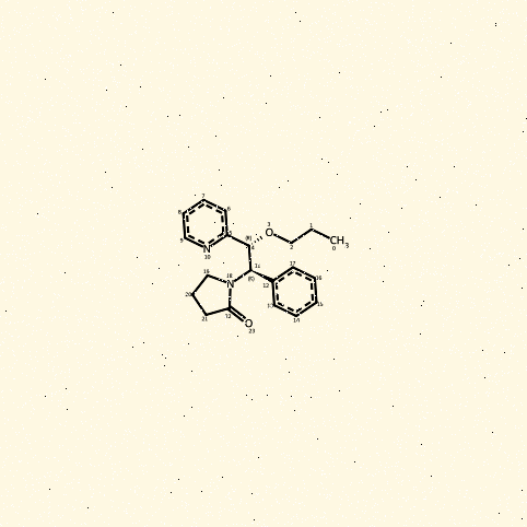 CCCO[C@@H](c1ccccn1)[C@@H](c1ccccc1)N1CCCC1=O